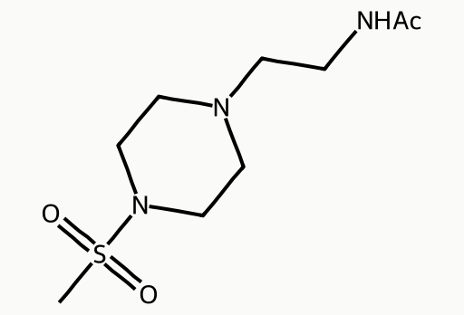 CC(=O)NCCN1CCN(S(C)(=O)=O)CC1